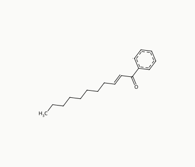 CCCCCCCCC=CC(=O)c1[c]cccc1